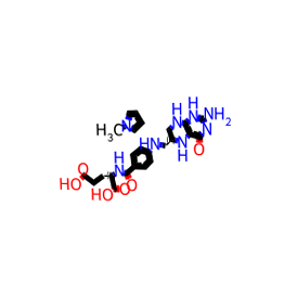 Cn1cccc1.Nc1nc(=O)c2c([nH]1)NC[C@@H](CNc1ccc(C(=O)N[C@@H](CCC(=O)O)C(=O)O)cc1)N2